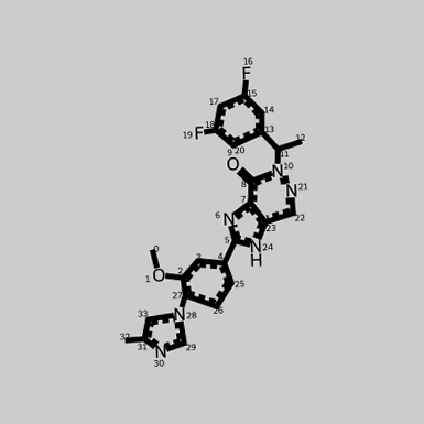 COc1cc(-c2nc3c(=O)n(C(C)c4cc(F)cc(F)c4)ncc3[nH]2)ccc1-n1cnc(C)c1